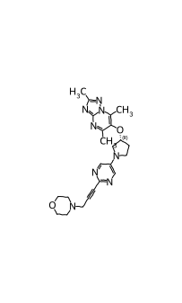 Cc1nc2nc(C)c(O[C@@H]3CCN(c4cnc(C#CCN5CCOCC5)nc4)C3)c(C)n2n1